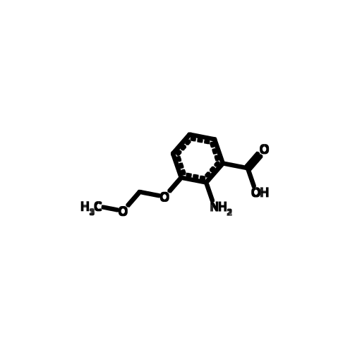 COCOc1cccc(C(=O)O)c1N